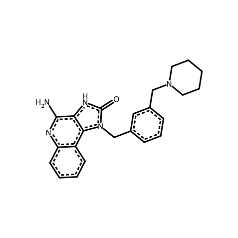 Nc1nc2ccccc2c2c1[nH]c(=O)n2Cc1cccc(CN2CCCCC2)c1